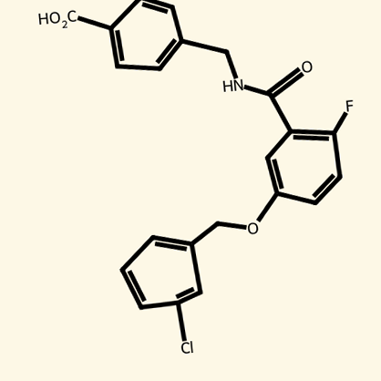 O=C(O)c1ccc(CNC(=O)c2cc(OCc3cccc(Cl)c3)ccc2F)cc1